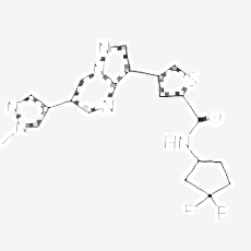 Cn1cc(-c2cnc3c(-c4csc(C(=O)NC5CCC(F)(F)C5)c4)cnn3c2)cn1